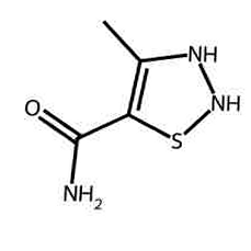 CC1=C(C(N)=O)SNN1